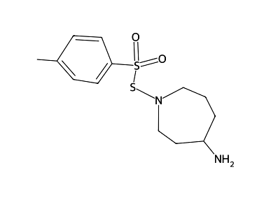 Cc1ccc(S(=O)(=O)SN2CCCC(N)CC2)cc1